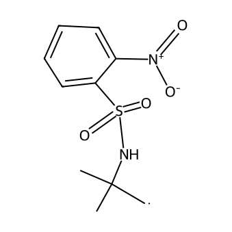 [CH2]C(C)(C)NS(=O)(=O)c1ccccc1[N+](=O)[O-]